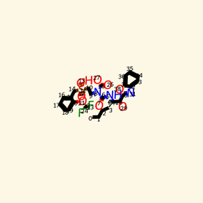 CCCC[C@H](NC(=O)N(CCS(=O)(=O)Cc1ccccc1OC(F)F)C(=O)O)C(=O)c1nc2ccccc2o1